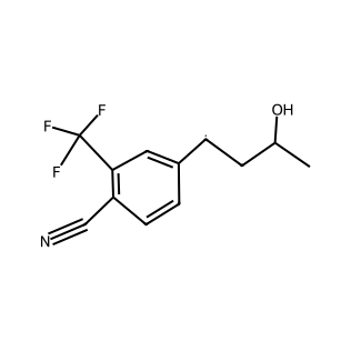 CC(O)C[CH]c1ccc(C#N)c(C(F)(F)F)c1